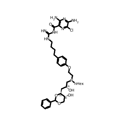 CCCCCCN(CCOc1ccc(CCCCNC(=N)NC(=O)c2nc(Cl)c(N)nc2N)cc1)C[C@H](O)C[C@@H]1OC(c2ccccc2)OC[C@H]1O